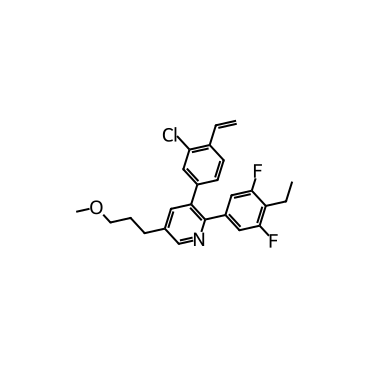 C=Cc1ccc(-c2cc(CCCOC)cnc2-c2cc(F)c(CC)c(F)c2)cc1Cl